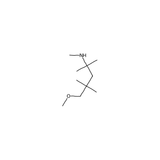 CNC(C)(C)CC(C)(C)COC